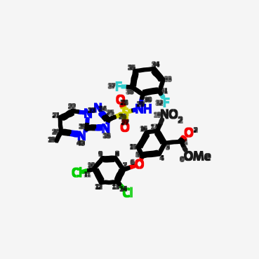 COC(=O)c1cc(Oc2ccc(Cl)cc2Cl)ccc1[N+](=O)[O-].Cc1ccn2nc(S(=O)(=O)Nc3c(F)cccc3F)nc2n1